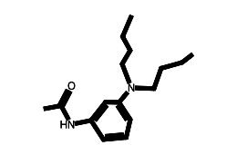 CCCCN(CCCC)c1cccc(NC(C)=O)c1